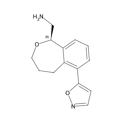 NC[C@@H]1OCCCc2c(-c3ccno3)cccc21